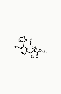 CC[C@H](c1ccc(C#N)c(-c2ncnn2C(F)F)c1)N(C)C(=O)OC(C)(C)C